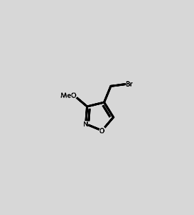 COc1nocc1CBr